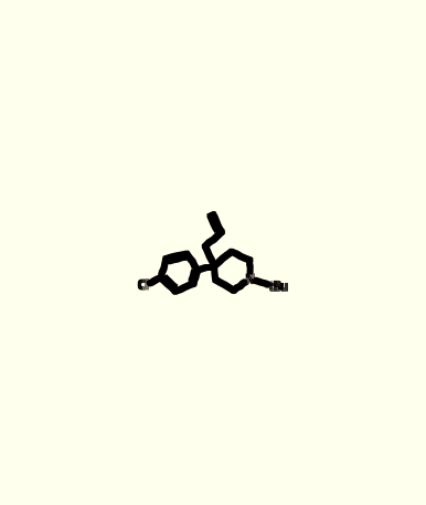 C=CCC1(c2ccc(Cl)cc2)CCN(C(C)(C)C)CC1